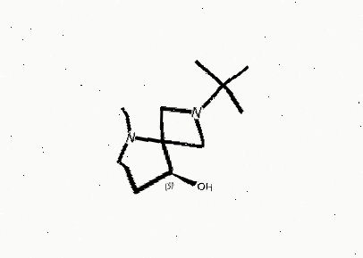 CN1CC[C@H](O)C12CN(C(C)(C)C)C2